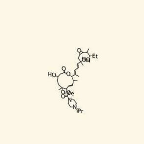 CCC(O)C(C)C1OC1CC(C)(O)/C=C/C=C(\C)C1OC(=O)CC(O)CCC(C)(OC)C(OC(=O)N2CCN(C(C)C)CC2)/C=C/C1C